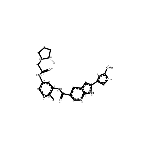 COc1nc(-c2cc3cc(C(=O)Nc4cc(NC(=O)CN5CCC[C@@H]5C)cnc4C)cnc3[nH]2)cs1